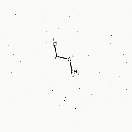 POCCl